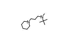 CN(CCCN1CCCCC1)C(C)(C)C